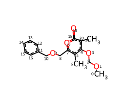 COCOc1c(C)c(COCc2ccccc2)oc(=O)c1C